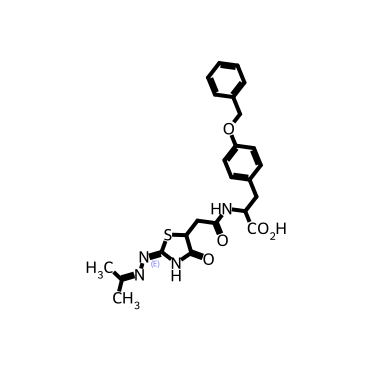 CC(C)=N/N=C1\NC(=O)C(CC(=O)NC(Cc2ccc(OCc3ccccc3)cc2)C(=O)O)S1